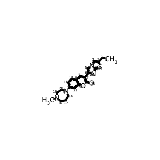 CCc1cn2cc(-c3cc4ccc(N5CCCN(C)CC5)cc4oc3=O)nc2s1